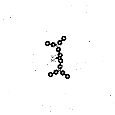 N#CC(C#N)=C1C2=CC(c3ccc(N(c4ccc(C5CCCCC5)cc4)c4ccc(C5CCCCC5)cc4)cc3)CC=C2c2ccc(-c3ccc(N(c4ccc(C5CCCCC5)cc4)c4ccc(C5CCCCC5)cc4)cc3)cc21